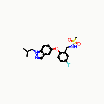 CC(C)Cn1ncc2cc(Oc3ccc(F)cc3CNS(C)(=O)=O)ccc21